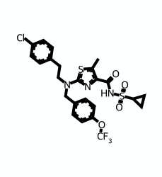 Cc1sc(N(CCc2ccc(Cl)cc2)Cc2ccc(OC(F)(F)F)cc2)nc1C(=O)NS(=O)(=O)C1CC1